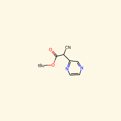 CC(C)(C)OC(=O)C(C#N)c1cnccn1